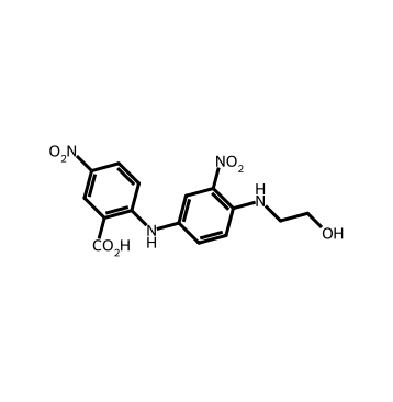 O=C(O)c1cc([N+](=O)[O-])ccc1Nc1ccc(NCCO)c([N+](=O)[O-])c1